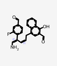 N/C=C(\C=C/Cc1cc(C=O)c(O)c2ccccc12)c1ccc(C=O)cc1F